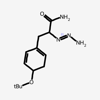 CC(C)(C)OC1C=CC(CC(/N=N/N)C(N)=O)=CC1